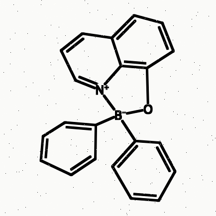 c1ccc([B-]2(c3ccccc3)Oc3cccc4ccc[n+]2c34)cc1